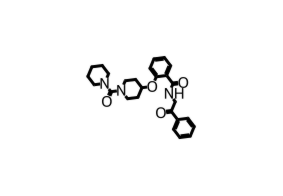 O=C(CNC(=O)c1ccccc1OC1CCN(C(=O)N2CCCCC2)CC1)c1ccccc1